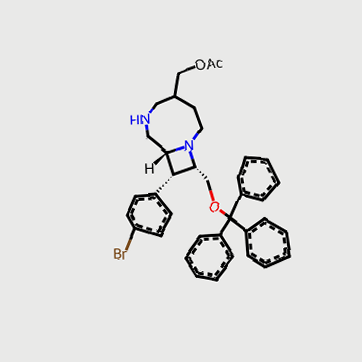 CC(=O)OCC1CCN2[C@H](COC(c3ccccc3)(c3ccccc3)c3ccccc3)[C@H](c3ccc(Br)cc3)[C@@H]2CNC1